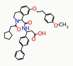 COc1ccc(CCOc2ccc3c(c2)C(C(=O)NC(CC(=O)O)c2ccc(-c4ccccc4)cc2)N(C(=O)CC2CCCC2)CC3)cc1